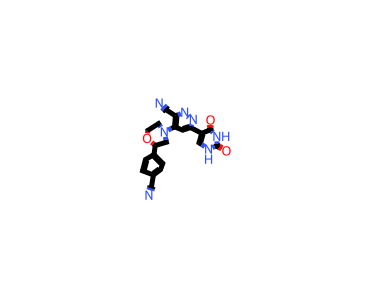 N#Cc1ccc(C2CN(c3cc(-c4c[nH]c(=O)[nH]c4=O)nnc3C#N)CCO2)cc1